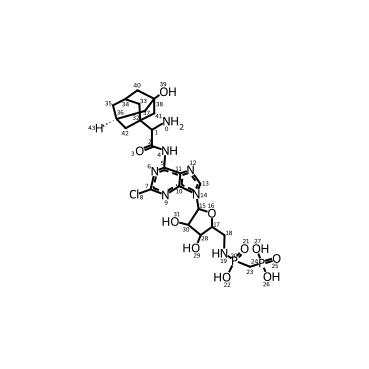 NC(C(=O)Nc1nc(Cl)nc2c1ncn2C1OC(CNP(=O)(O)CP(=O)(O)O)C(O)C1O)C12CC3C[C@@H](CC(O)(C3)C1)C2